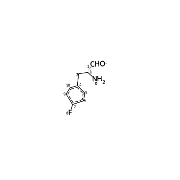 N[C@@H]([C]=O)Cc1ccc(F)cc1